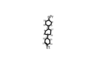 CCCC1CCC(C2CCC(C3CC=C(CC)CC3)CC2)CC1